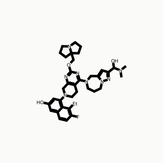 CCc1c(F)ccc2cc(O)cc(N3CCc4c(nc(OCC56CCCN5CCC6)nc4N4CCCn5nc(C(O)N(C)C)cc5C4)C3)c12